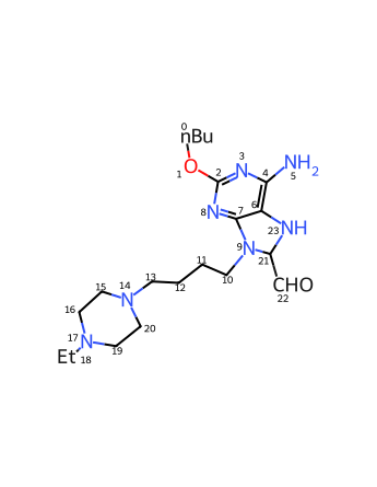 CCCCOc1nc(N)c2c(n1)N(CCCCN1CCN(CC)CC1)C(C=O)N2